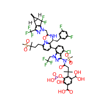 C=C1[C@@H]2c3c(C(F)(F)F)nn(CC(=O)N[C@@H](Cc4cc(F)cc(F)c4)c4nc(CCC(C)(C)S(C)(=O)=O)ccc4-c4ccc(Cl)c5c(N(C(=O)CC(C)(C)c6c(OP(=O)(O)O)cc(C(=O)O)cc6C(O)O)S(C)(=O)=O)nn(CC(F)(F)F)c45)c3C(F)(F)[C@H]12